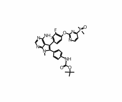 Cn1c(-c2ccc(NC(=O)OC(C)(C)C)cc2)c(-c2ccc(Oc3nccc(P(C)(C)=O)n3)c(F)c2)c2c(N)ncnc21